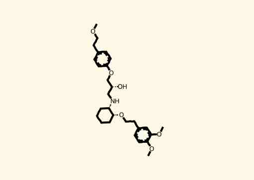 COCCc1ccc(OC[C@H](O)CN[C@H]2CCCC[C@H]2OCCc2ccc(OC)c(OC)c2)cc1